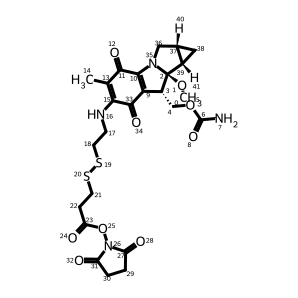 CO[C@@]12[C@H](COC(N)=O)C3=C(C(=O)C(C)=C(NCCSSCCC(=O)ON4C(=O)CCC4=O)C3=O)N1C[C@@H]1C[C@@H]12